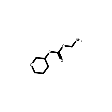 NCOC(=O)OC1CCCOC1